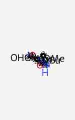 COc1ccccc1C1c2c(C(C)(C)C)n[nH]c2C(=O)N1c1ccc(-c2cc(C=O)no2)cc1